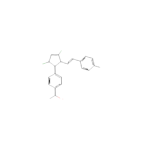 CC(C)C(O)c1ccc(C2C(Cl)CC(Cl)C2/C=C/c2ccc(C(=O)O)cc2)cc1